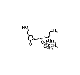 CC/C=C\C[C@@H](C/C=C1\CC(CCO)=CC1=O)O[Si](C)(C)C(C)(C)C